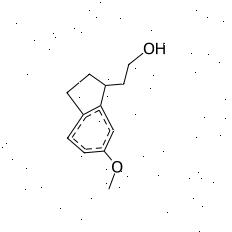 COc1ccc2c(c1)C(CCO)CC2